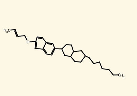 CC=CCOc1ccc2cc(C3CCC4CC(CCCCCCC)CCC4C3)ccc2c1